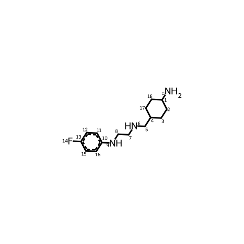 NC1CCC(CNCCNc2ccc(F)cc2)CC1